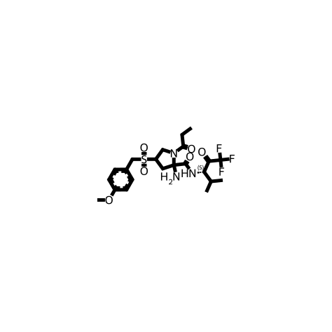 CCC(=O)N1CC(S(=O)(=O)Cc2ccc(OC)cc2)CC1(N)C(=O)N[C@H](C(=O)C(F)(F)F)C(C)C